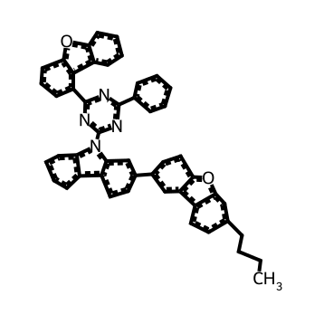 CCCCc1ccc2c(c1)oc1ccc(-c3ccc4c5ccccc5n(-c5nc(-c6ccccc6)nc(-c6cccc7oc8ccccc8c67)n5)c4c3)cc12